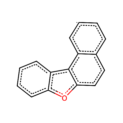 [c]1ccc2ccc3oc4ccccc4c3c2c1